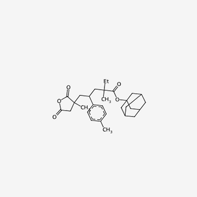 CCC(C)(CC(CC1(C)CC(=O)OC1=O)c1ccc(C)cc1)C(=O)OC12CC3CC(CC(C3)C1)C2